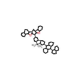 CC1(C)c2ccc(-c3c4oc5ccccc5c4cc4c3oc3c5ccccc5ccc43)cc2-c2ccc(-c3c4ccccc4c(-c4cccc5ccccc45)c4ccccc34)cc21